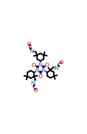 CC1(C)CC(n2c(=O)n(C3CCC(C)(C)CC3(C)CN=C=O)c(=O)n(C3CCC(C)(C)CC3(C)CN=C=O)c2=O)CC(C)(CN=C=O)C1